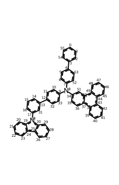 c1ccc(-c2ccc(N(c3ccc(-c4cccc(-n5c6ccccc6c6ccccc65)c4)cc3)c3ccc4c5ccccc5c5ccccc5c4c3)cc2)cc1